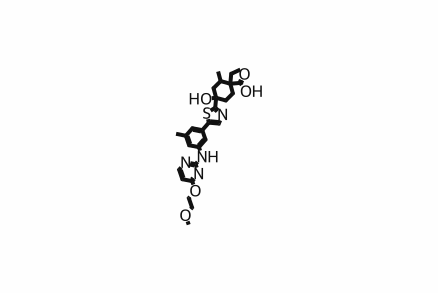 CCC1(C(=O)O)CCC(O)(c2ncc(-c3cc(C)cc(Nc4nccc(OCCOC)n4)c3)s2)CC1C